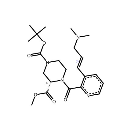 COC(=O)[C@@H]1CN(C(=O)OC(C)(C)C)CCN1C(=O)c1ncccc1/C=C/CN(C)C